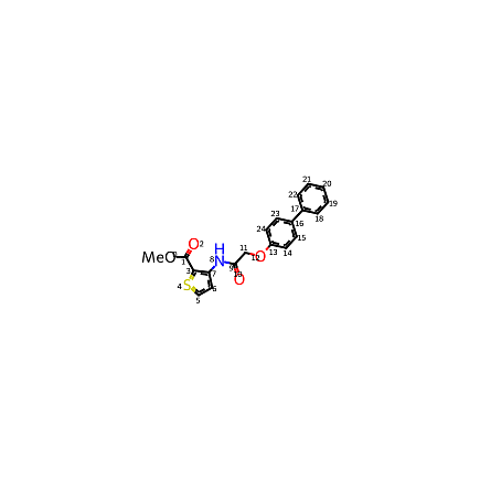 COC(=O)c1sccc1NC(=O)COc1ccc(-c2ccccc2)cc1